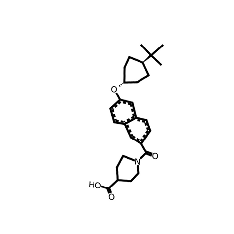 CC(C)(C)[C@H]1CC[C@H](Oc2ccc3cc(C(=O)N4CCC(C(=O)O)CC4)ccc3c2)CC1